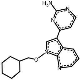 Nc1nccc(-c2cn(OCC3CCCCC3)c3ncccc23)n1